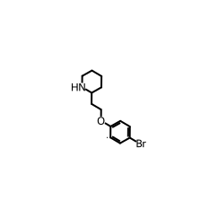 Brc1c[c]c(OCCC2CCCCN2)cc1